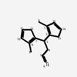 CC1=C(C(C[CH]=[Ti])C2=C(C)C=CC2)CC=C1